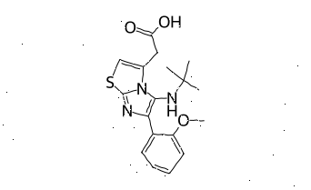 COc1ccccc1-c1nc2scc(CC(=O)O)n2c1NC(C)(C)C